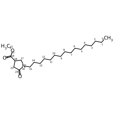 CCCCCCCCCCCCCCCCN1CC(C(=O)OC)CC1=O